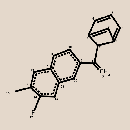 C=C([C]1C2=CC=CC1=C2)c1ccc2cc(F)c(F)cc2c1